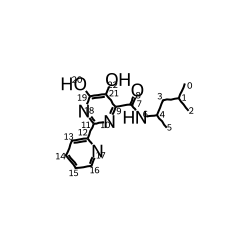 CC(C)CC(C)NC(=O)c1nc(-c2ccccn2)nc(O)c1O